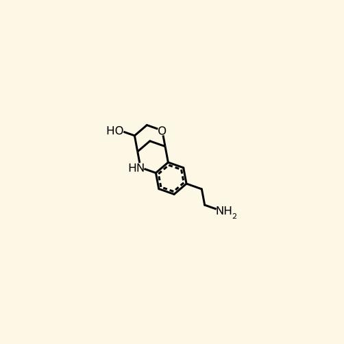 NCCc1ccc2c(c1)C1CC(N2)C(O)CO1